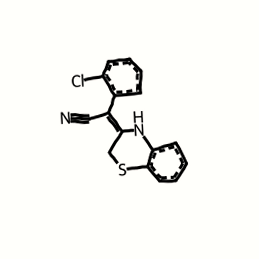 N#CC(=C1CSc2ccccc2N1)c1ccccc1Cl